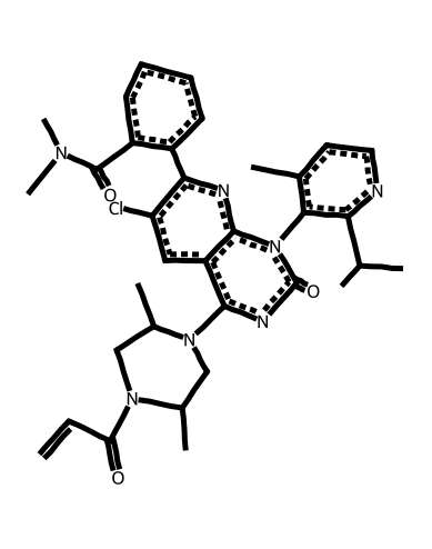 C=CC(=O)N1CC(C)N(c2nc(=O)n(-c3c(C)ccnc3C(C)C)c3nc(-c4ccccc4C(=O)N(C)C)c(Cl)cc23)CC1C